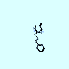 C=C/C=N\C(=N/C)SSSc1ncccn1